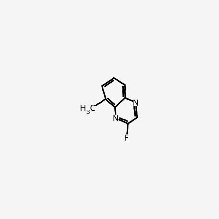 Cc1cccc2ncc(F)nc12